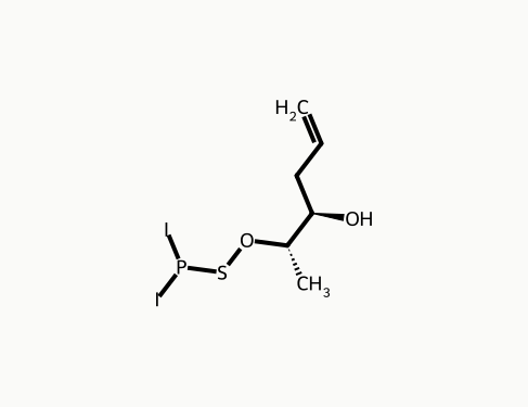 C=CC[C@@H](O)[C@H](C)OSP(I)I